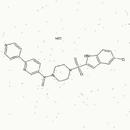 Cl.O=C(c1ccc(-c2ccncc2)nc1)N1CCN(S(=O)(=O)c2cc3cc(Cl)ccc3[nH]2)CC1